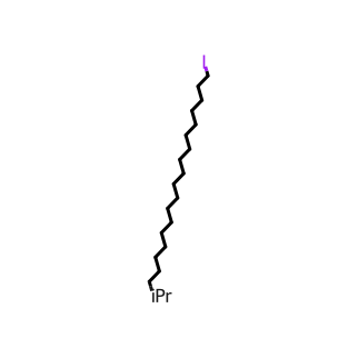 CC(C)CCCCCCCCCCCCCCCCCCI